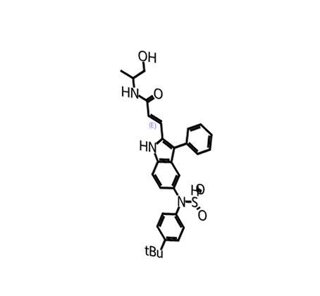 CC(CO)NC(=O)/C=C/c1[nH]c2ccc(N(c3ccc(C(C)(C)C)cc3)[SH](=O)=O)cc2c1-c1ccccc1